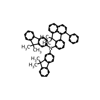 CC1(C)c2ccccc2-c2ccc(N(c3ccc4c(c3)C(C)(C)c3ccccc3-4)c3cccc4c3C(C)(C)c3cccc5ccc(-c6ccccc6)c-4c35)cc21